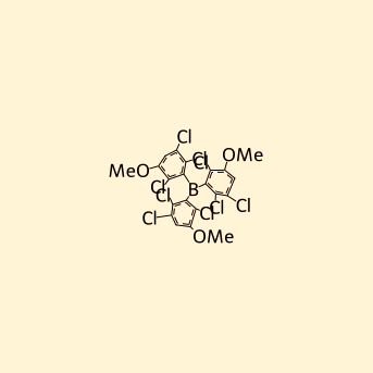 COc1cc(Cl)c(Cl)c(B(c2c(Cl)c(Cl)cc(OC)c2Cl)c2c(Cl)c(Cl)cc(OC)c2Cl)c1Cl